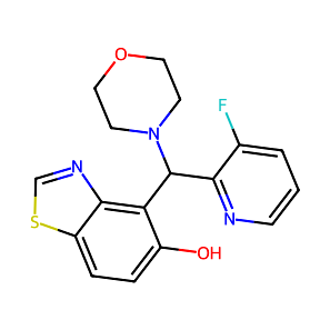 Oc1ccc2scnc2c1C(c1ncccc1F)N1CCOCC1